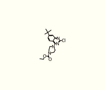 CCOC(=O)N1CCN(c2nc(Cl)nc3cc(C(C)(C)C)ccc23)CC1